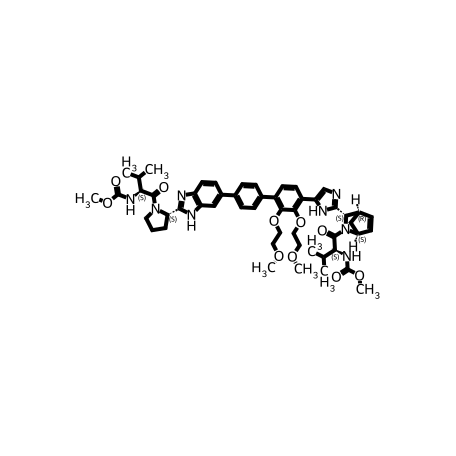 COCCOc1c(-c2ccc(-c3ccc4nc([C@@H]5CCCN5C(=O)[C@@H](NC(=O)OC)C(C)C)[nH]c4c3)cc2)ccc(-c2cnc([C@@H]3[C@H]4C=C[C@H](C4)N3C(=O)[C@@H](NC(=O)OC)C(C)C)[nH]2)c1OCCOC